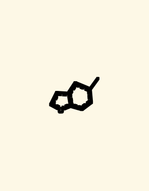 Cc1ccc2occc2c1